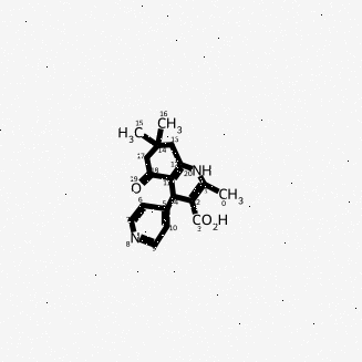 CC1=C(C(=O)O)C(c2ccncc2)C2=C(CC(C)(C)CC2=O)N1